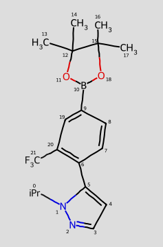 CC(C)n1nccc1-c1ccc(B2OC(C)(C)C(C)(C)O2)cc1C(F)(F)F